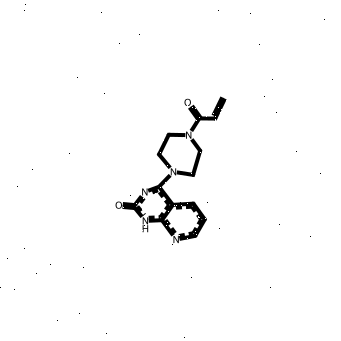 C=CC(=O)N1CCN(c2nc(=O)[nH]c3ncccc23)CC1